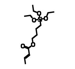 CC=CC(=O)OCCCC[Si](OCC)(OCC)OCC